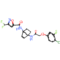 O=C(COc1ccc(Cl)c(F)c1)NC12CCC(NC(=O)c3cc(C(F)F)no3)(CC1)CC2